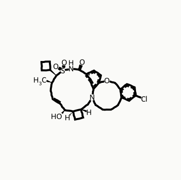 C[C@@H]1C/C=C/[C@H](O)[C@@H]2CC[C@H]2CN2CCCCc3cc(Cl)ccc3COc3ccc(cc32)C(=O)NS(=O)(=O)[C@@H]1C1CCC1